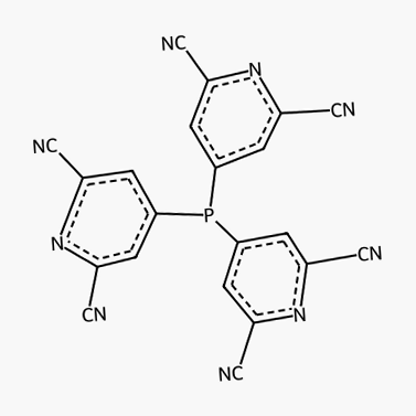 N#Cc1cc(P(c2cc(C#N)nc(C#N)c2)c2cc(C#N)nc(C#N)c2)cc(C#N)n1